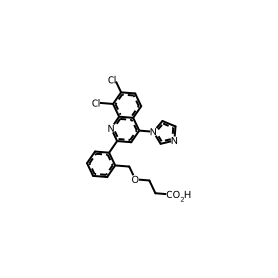 O=C(O)CCOCc1ccccc1-c1cc(-n2ccnc2)c2ccc(Cl)c(Cl)c2n1